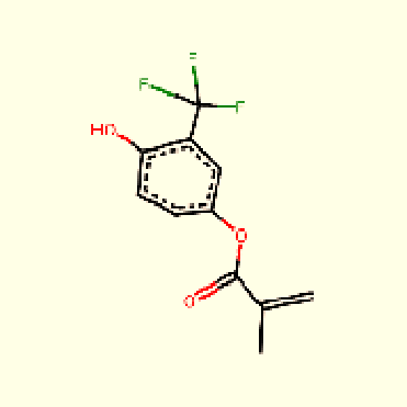 C=C(C)C(=O)Oc1ccc(O)c(C(F)(F)F)c1